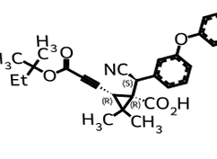 CCC(C)(C)OC(=O)C#C[C@H]1C(C)(C)[C@]1(C(=O)O)[C@@H](C#N)c1cccc(Oc2ccccc2)c1